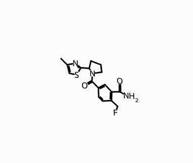 Cc1csc(C2CCCN2C(=O)c2ccc(CF)c(C(N)=O)c2)n1